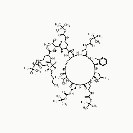 CCCCOP(=O)(OCCC)C(F)(F)C(=O)N[C@@H](CCNC(=O)OC(C)(C)C)C(=O)N[C@H](C(=O)N[C@@H](CCNC(=O)OC(C)(C)C)C(=O)N[C@H]1CCNC(=O)[C@H]([C@H](C)O)NC(=O)[C@H](CCNC(=O)OC(C)(C)C)NC(=O)[C@H](CCNC(=O)OC(C)(C)C)NC(=O)[C@H](CC(C)C)NC(=O)[C@@H](Cc2ccccc2)NC(=O)[C@H](CCNC(=O)OC(C)(C)C)NC1=O)C(C)O